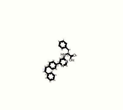 O=C(O)[C@H](Cc1ccccc1)Nc1cc(-c2ccc(/C=C\c3ccccc3)cc2)ncn1